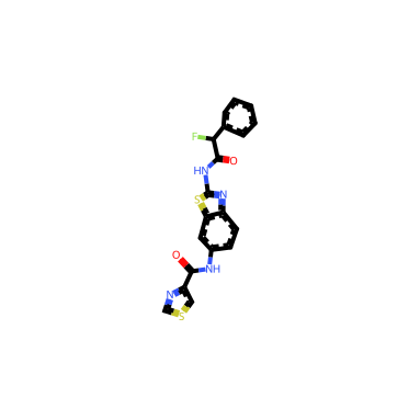 O=C(Nc1ccc2nc(NC(=O)C(F)c3ccccc3)sc2c1)c1cscn1